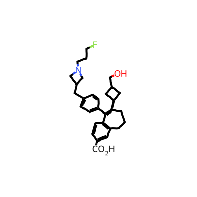 O=C(O)c1ccc2c(c1)CCCC(C1CC(CO)C1)=C2c1ccc(CC2CN(CCCF)C2)cc1